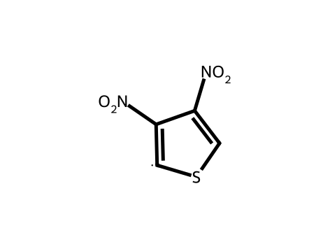 O=[N+]([O-])c1[c]scc1[N+](=O)[O-]